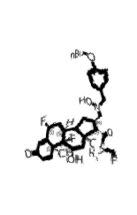 CCCCOc1ccc(CN(O)C[C@@H]2CC3[C@@H]4C[C@H](F)C5=CC(=O)C=C[C@]5(C)[C@@]4(F)[C@@H](O)C[C@]3(C)[C@H]2C(=O)SCF)cc1